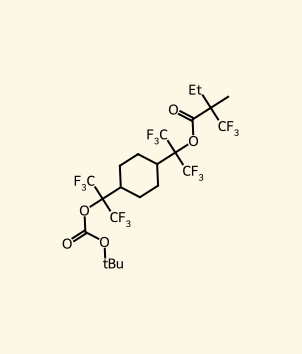 CCC(C)(C(=O)OC(C1CCC(C(OC(=O)OC(C)(C)C)(C(F)(F)F)C(F)(F)F)CC1)(C(F)(F)F)C(F)(F)F)C(F)(F)F